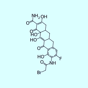 NC(=O)C1=C(O)CC2CC3Cc4cc(F)c(NC(=O)CBr)c(O)c4C(=O)C3=C(O)C2(O)C1=O